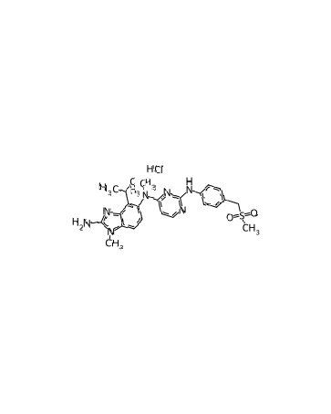 CC(C)c1c(N(C)c2ccnc(Nc3ccc(CS(C)(=O)=O)cc3)n2)ccc2c1nc(N)n2C.Cl